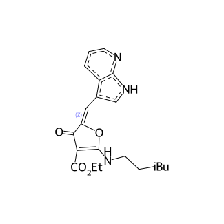 CCOC(=O)C1=C(NCCC(C)CC)O/C(=C\c2c[nH]c3ncccc23)C1=O